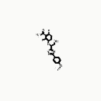 COc1ccc(-c2noc(C(CO)Oc3ccc(F)c(C(N)=O)c3F)n2)cc1